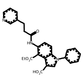 CCOC(=O)c1c(NC(=O)CCc2cccnc2)ccc2c1c(C(=O)O)cn2-c1ccccc1